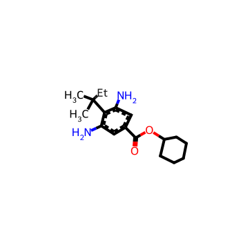 CCC(C)(C)c1c(N)cc(C(=O)OC2CCCCC2)cc1N